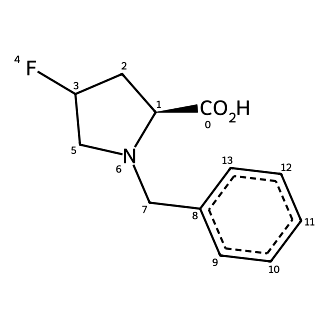 O=C(O)[C@@H]1CC(F)CN1Cc1ccccc1